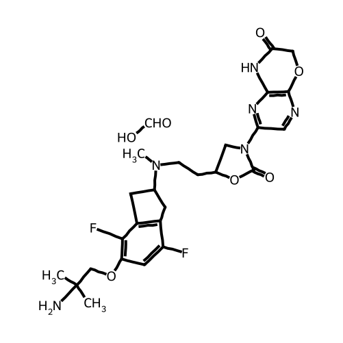 CN(CCC1CN(c2cnc3c(n2)NC(=O)CO3)C(=O)O1)C1Cc2c(F)cc(OCC(C)(C)N)c(F)c2C1.O=CO